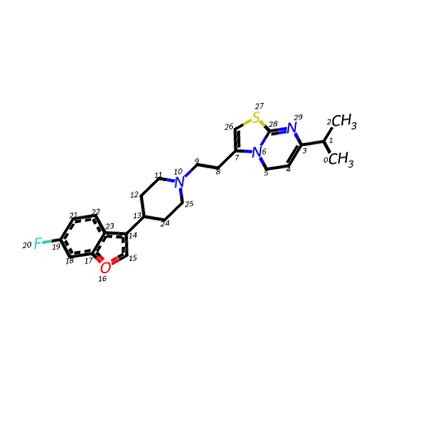 CC(C)C1=CCN2C(CCN3CCC(c4coc5cc(F)ccc45)CC3)=CSC2=N1